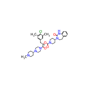 Cc1cc(C[C@@H](OC(=O)N2CCC(N3CCc4ccccc4NC3=O)CC2)C(=O)N2CCN(C3CCN(C)CC3)CC2)cc(C)c1Cl